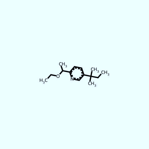 CCOC(C)c1ccc(C(C)(C)CC)cn1